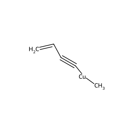 C=CC#[C][Cu][CH3]